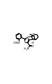 COc1ccccc1-c1nc([C@@H]2C3CCN(CC3)[C@H]2C)c(C(N)=O)s1